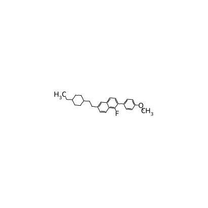 CCC1CCC(CCc2ccc3c(F)c(-c4ccc(OC)cc4)ccc3c2)CC1